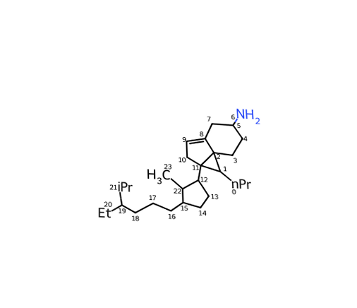 CCCC1C23CCC(N)CC2=CCC13C1CCC(CCCC(CC)C(C)C)C1C